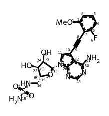 COc1cccc(F)c1C#Cc1cn([C@@H]2O[C@H](CNS(N)(=O)=O)[C@@H](O)[C@H]2O)c2ncnc(N)c12